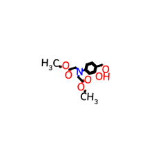 CCOC(=O)CN(CC(=O)OCC)c1ccc(C=O)c(O)c1